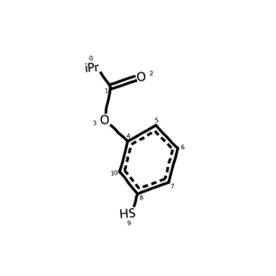 CC(C)C(=O)Oc1cccc(S)c1